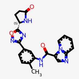 Cc1ccc(-c2noc([C@@H]3CCC(=O)N3)n2)cc1NC(=O)c1cnc2ccccn12